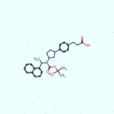 CC(c1cccc2ccccc12)N(C(=O)OC(C)(C)C)C1CCC(c2ccc(CCC(=O)O)cc2)C1